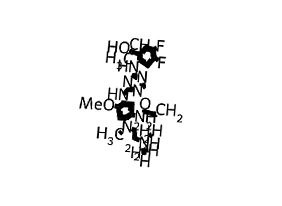 [2H]C([2H])([2H])N(CCN(C)c1cc(OC)c(Nc2ncnc(Nc3cc(F)c(F)cc3C(C)(C)O)n2)cc1NC(=O)C=C)C([2H])([2H])[2H]